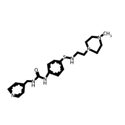 CN1CCN(CCNSc2ccc(NC(=O)NCc3ccncc3)cc2)CC1